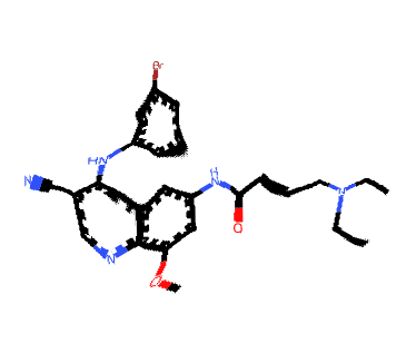 CCN(CC)CC=CC(=O)Nc1cc(OC)c2ncc(C#N)c(Nc3cccc(Br)c3)c2c1